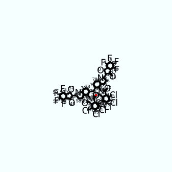 O=C1c2c(F)c(F)c(F)c(F)c2C(=O)C1c1ccc2c(N3C(=O)c4c(Cl)c(Cl)c(Cl)c(Cl)c4C3=O)c(Cc3ccc4nc(C5C(=O)c6c(F)c(F)c(F)c(F)c6C5=O)ccc4c3N3C(=O)c4c(Cl)c(Cl)c(Cl)c(Cl)c4C3=O)ccc2n1